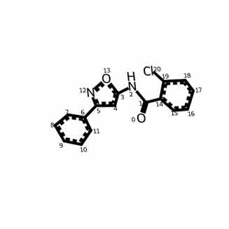 O=C(Nc1cc(-c2ccccc2)no1)c1ccccc1Cl